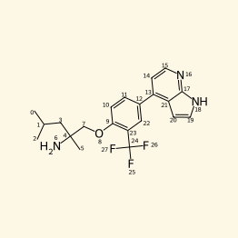 CC(C)CC(C)(N)COc1ccc(-c2ccnc3[nH]ccc23)cc1C(F)(F)F